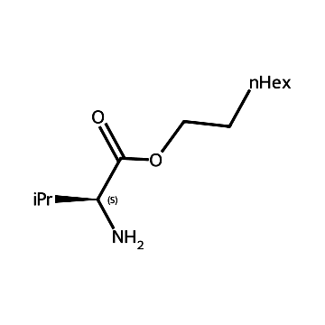 CCCCCCCCOC(=O)[C@@H](N)C(C)C